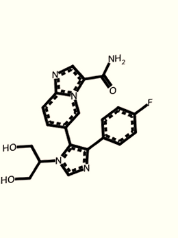 NC(=O)c1cnc2ccc(-c3c(-c4ccc(F)cc4)ncn3C(CO)CO)cn12